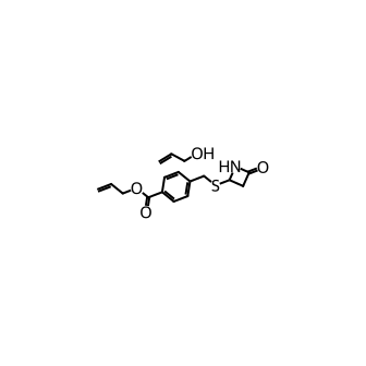 C=CCO.C=CCOC(=O)c1ccc(CSC2CC(=O)N2)cc1